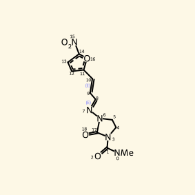 CNC(=O)N1CCN(/N=C/C=C/c2ccc([N+](=O)[O-])o2)C1=O